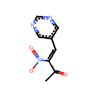 CC(=O)C(=Cc1cncnc1)[N+](=O)[O-]